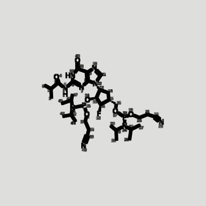 CC(C)C(=O)Nc1nc2c(ncn2[C@@H]2C[C@H](COP(OCCC#N)N(C(C)C)C(C)C)[C@@H](F)[C@H]2OP(OCCC#N)N(C(C)C)C(C)C)c(=O)[nH]1